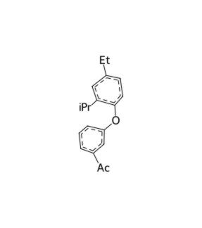 CCc1ccc(Oc2cccc(C(C)=O)c2)c(C(C)C)c1